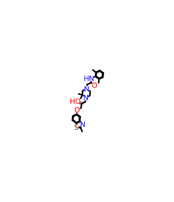 Cc1nc2cc(OC[C@@H](O)CN3CCN(CC(=O)Nc4c(C)cccc4C)CC3(C)C)ccc2s1